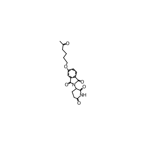 CC(=O)CCCCOc1ccc2c(c1)C(=O)N(C1CCC(=O)NC1=O)C2=O